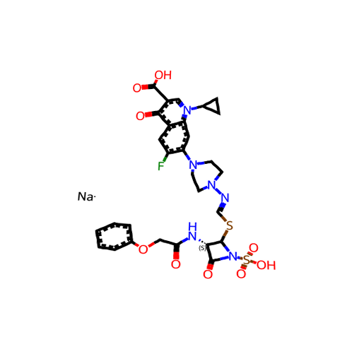 O=C(COc1ccccc1)N[C@H]1C(=O)N(S(=O)(=O)O)C1SC=NN1CCN(c2cc3c(cc2F)c(=O)c(C(=O)O)cn3C2CC2)CC1.[Na]